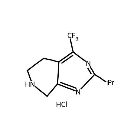 CC(C)c1nc2c(c(C(F)(F)F)n1)CCNC2.Cl